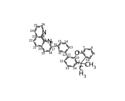 CC1(C)c2ccccc2Oc2c(-c3cccc(-c4ccc5ccc6cccnc6c5n4)c3)cccc21